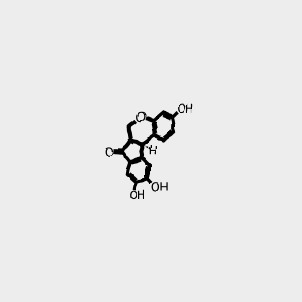 O=C1c2cc(O)c(O)cc2[C@@H]2c3ccc(O)cc3OCC12